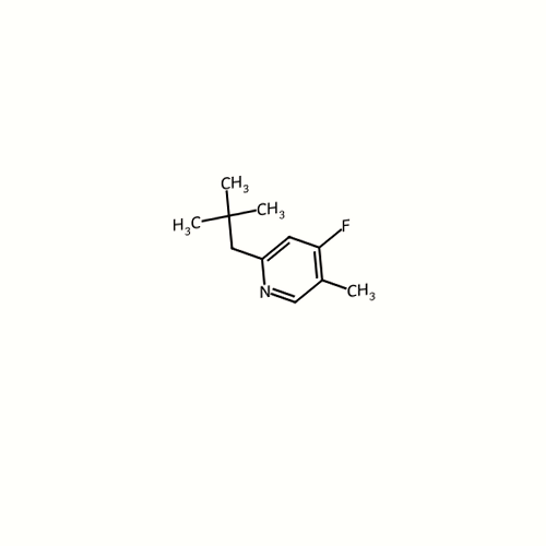 Cc1cnc(CC(C)(C)C)cc1F